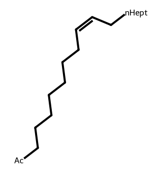 [C]C(=O)CCCCCCC/C=C\CCCCCCCC